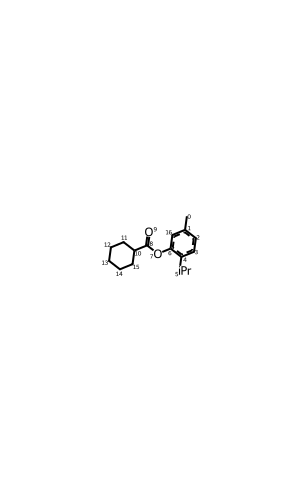 Cc1ccc(C(C)C)c(OC(=O)C2CCCCC2)c1